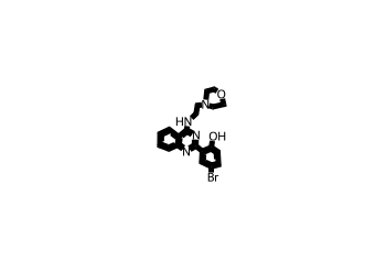 Oc1ccc(Br)cc1-c1nc(NCCN2CCOCC2)c2ccccc2n1